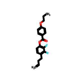 C=CCCc1ccc(OC(=O)c2ccc(OCCC)cc2)c(F)c1F